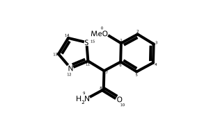 COc1ccccc1C(C(N)=O)c1nccs1